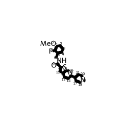 COc1cccc(CNC(=O)c2cc3ccc(-c4ccncc4)nc3s2)c1F